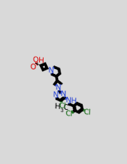 C[C@@H](Nc1nc(N2CC(C3CCCN([C@H]4C[C@@H](C(=O)O)C4)C3)C2)ncc1Cl)c1ccc(Cl)cc1Cl